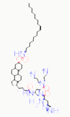 CCCCCCCC/C=C\CCCCCCCCNC(=O)O[C@@H]1CC[C@@]2(C)C(CCC3C2CC[C@@]2(C)C3CC[C@@H]2[C@H](C)CCC(=O)N[C@H]2C[C@@H](C(=O)N(CCCN(C)C)CCCN(C)C)N(C(=O)C(N)Cc3c[nH]cn3)C2)C1